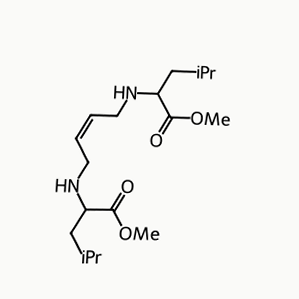 COC(=O)C(CC(C)C)NC/C=C\CNC(CC(C)C)C(=O)OC